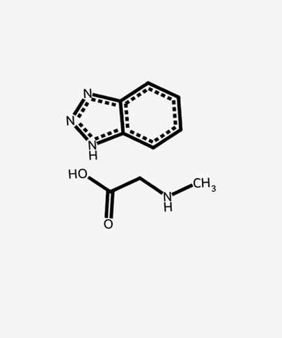 CNCC(=O)O.c1ccc2[nH]nnc2c1